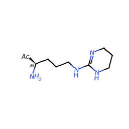 CC(=O)[C@H](N)CCCNC1=NCCCN1